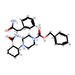 NC(=O)[C@@H](NC(=O)[C@H]1CCCC[C@@H]1N1CCN(C(=O)OCc2ccccc2)CC1)c1ccccc1